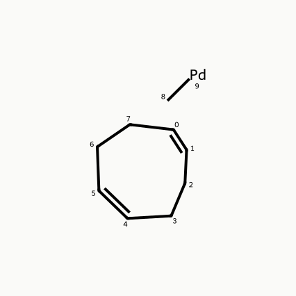 C1=CCCC=CCC1.[CH3][Pd]